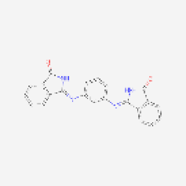 O=C1N/C(=N\c2cccc(/N=C3\NC(=O)c4ccccc43)c2)c2ccccc21